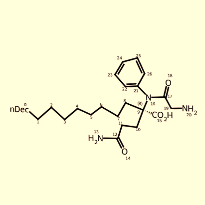 CCCCCCCCCCCCCCCCCC[C@@](CCC(N)=O)(C(=O)O)N(C(=O)CN)c1ccccc1